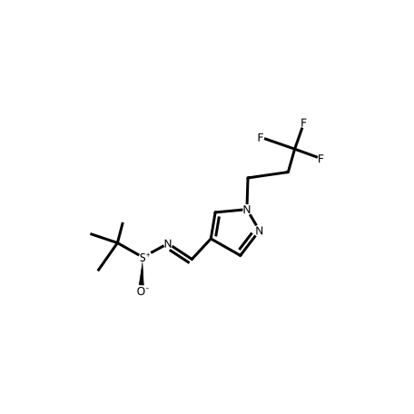 CC(C)(C)[S@+]([O-])N=Cc1cnn(CCC(F)(F)F)c1